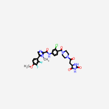 COc1ccc(-c2cnc(C(=O)Nc3ccc(C(=O)N4CCN(C(=O)CC5NC(=O)NC5=O)CC4)c(Cl)c3)n2C)c(F)c1F